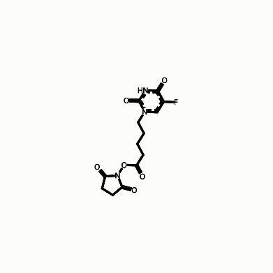 O=C(CCCCn1cc(F)c(=O)[nH]c1=O)ON1C(=O)CCC1=O